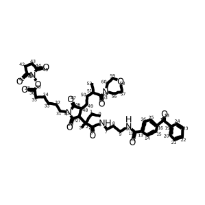 CCC(C)(C(=O)NCCCNC(=O)c1ccc(C(=O)c2ccccc2)cc1)C1C(=O)N(CCCCCC(=O)ON2C(=O)CCC2=O)C(=O)C1CCC(C)C(=O)N1CCOCC1